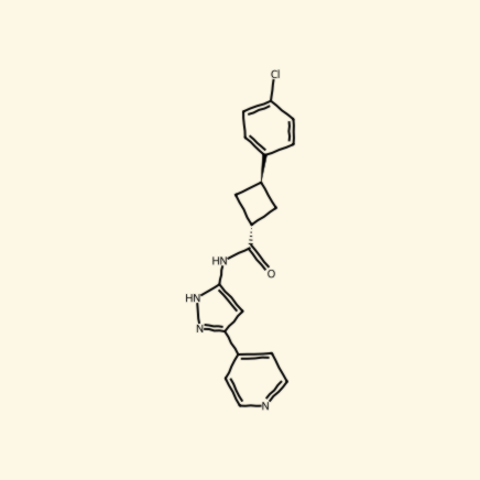 O=C(Nc1cc(-c2ccncc2)n[nH]1)[C@H]1C[C@H](c2ccc(Cl)cc2)C1